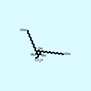 CCCCCCCCCCCCCCCCCCCCCCc1c(O)c(CCCCCCCCCCCCCCCCCCCCCC)c(C(C)(C)C)c(CCC(=O)O)c1C(C)(C)C